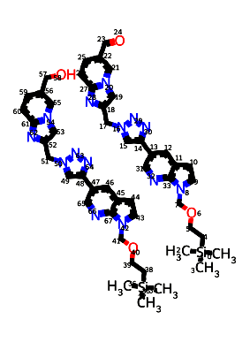 C[Si](C)(C)CCOCn1ccc2cc(-c3cn(Cc4cn5cc(C=O)ccc5n4)nn3)cnc21.C[Si](C)(C)CCOCn1ccc2cc(-c3cn(Cc4cn5cc(CO)ccc5n4)nn3)cnc21